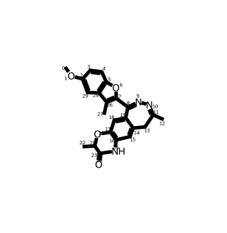 COc1ccc2oc(C3=NN=C(C)Cc4cc5c(cc43)OC(C)C(=O)N5)c(C)c2c1